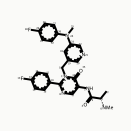 CN[C@@H](C)C(=O)Nc1cnc(-c2ccc(F)cc2)n(Cc2cncc(N(C)c3ccc(F)cc3)c2)c1=O